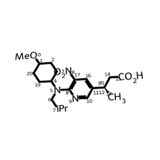 COC1CCC(N(CC(C)C)c2ncc([C@H](C)CC(=O)O)cc2[N+](=O)[O-])CC1